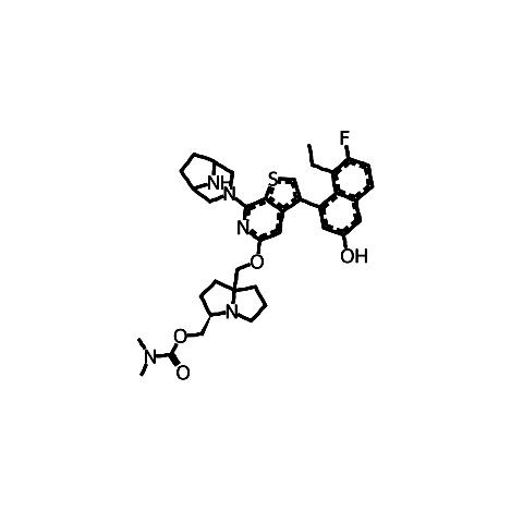 CCc1c(F)ccc2cc(O)cc(-c3csc4c(N5CC6CCC(C5)N6)nc(OCC56CCCN5[C@@H](COC(=O)N(C)C)CC6)cc34)c12